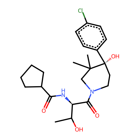 CC(O)[C@@H](NC(=O)C1CCCC1)C(=O)N1CC[C@](O)(c2ccc(Cl)cc2)C(C)(C)C1